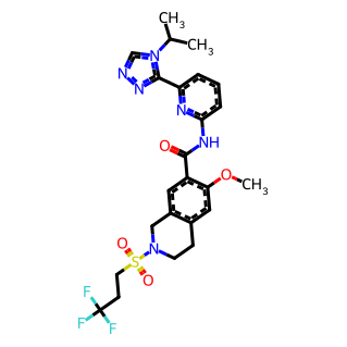 COc1cc2c(cc1C(=O)Nc1cccc(-c3nncn3C(C)C)n1)CN(S(=O)(=O)CCC(F)(F)F)CC2